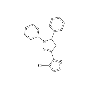 Clc1ccsc1C1=NN(c2ccccc2)C(c2ccccc2)C1